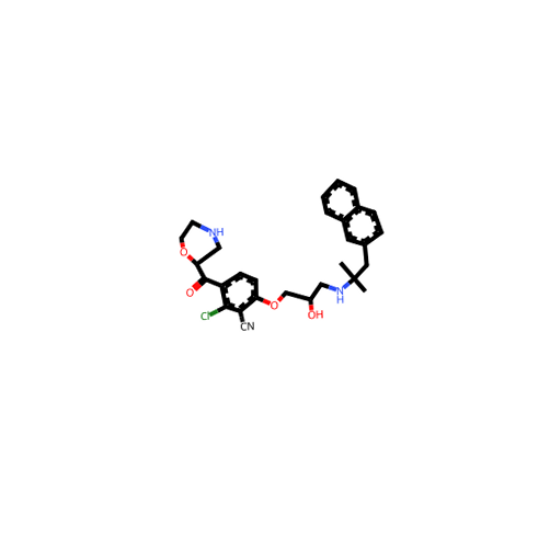 CC(C)(Cc1ccc2ccccc2c1)NCC(O)COc1ccc(C(=O)C2CNCCO2)c(Cl)c1C#N